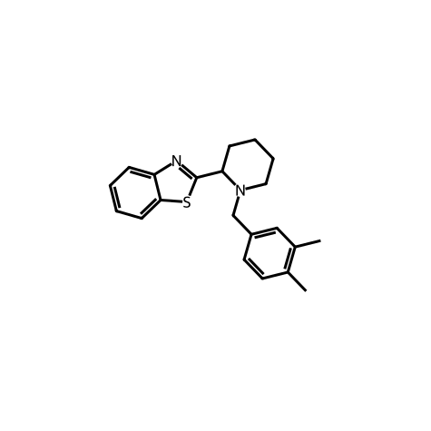 Cc1ccc(CN2CCCCC2c2nc3ccccc3s2)cc1C